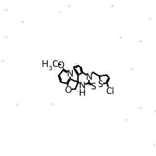 COc1ccc2c(n1)C1(CO2)NC(=S)N(CC2CC=C(Cl)S2)c2ccccc21